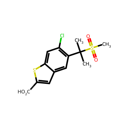 CC(C)(c1cc2cc(C(=O)O)sc2cc1Cl)S(C)(=O)=O